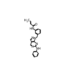 CC=CC(=O)Nc1cccc(Cn2ncc3cnc(Nc4ccccc4)nc32)c1